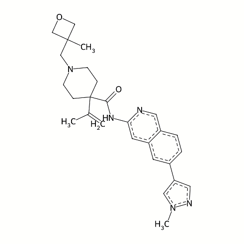 C=C(C)C1(C(=O)Nc2cc3cc(-c4cnn(C)c4)ccc3cn2)CCN(CC2(C)COC2)CC1